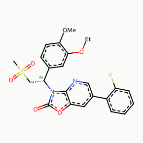 CCOc1cc([C@@H](CS(C)(=O)=O)n2c(=O)oc3cc(-c4ccccc4F)cnc32)ccc1OC